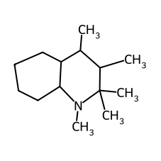 CC1C2CCCCC2N(C)C(C)(C)C1C